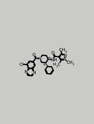 Cc1nn(C)c(C)c1C(=O)N[C@@H]1CCN(C(=O)c2cc(Cl)c3nccnc3c2)C[C@@H]1C1C=CC=CC1